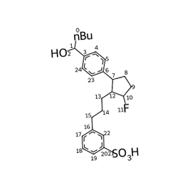 CCCCC(O)c1ccc(C2CCC(F)C2CCCc2cccc(S(=O)(=O)O)c2)cc1